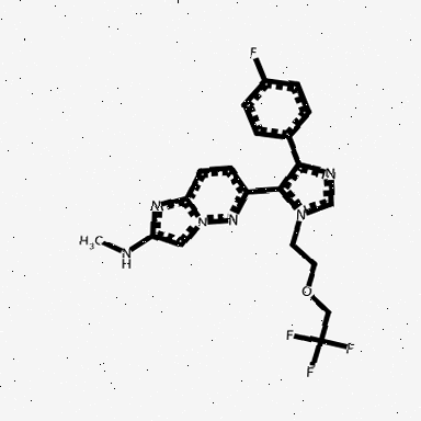 CNc1cn2nc(-c3c(-c4ccc(F)cc4)ncn3CCOCC(F)(F)F)ccc2n1